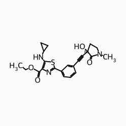 CCOC(=O)c1nc(-c2cccc(C#C[C@]3(O)CCN(C)C3=O)c2)sc1NC1CC1